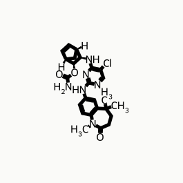 CN1C(=O)CCC(C)(C)c2cc(Nc3ncc(Cl)c(N[C@H]4[C@@H](OC(N)=O)[C@@H]5C=C[C@H]4C5)n3)ccc21